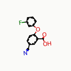 N#Cc1ccc(Oc2cccc(F)c2)c(C(=O)O)c1